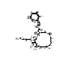 CCCCC1NC(=O)C(CC(=O)NO[C@H]2CCCCO2)CCCC=CCCCN(C)C1=O